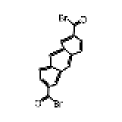 O=C(Br)c1ccc2cc3cc(C(=O)Br)ccc3cc2c1